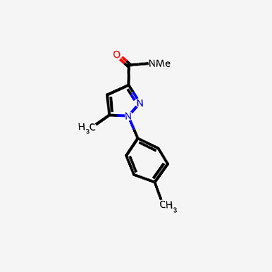 CNC(=O)c1cc(C)n(-c2ccc(C)cc2)n1